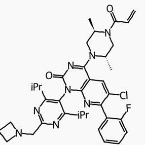 C=CC(=O)N1C[C@H](C)N(c2nc(=O)n(-c3c(C(C)C)nc(CN4CCC4)nc3C(C)C)c3nc(-c4ccccc4F)c(Cl)cc23)C[C@H]1C